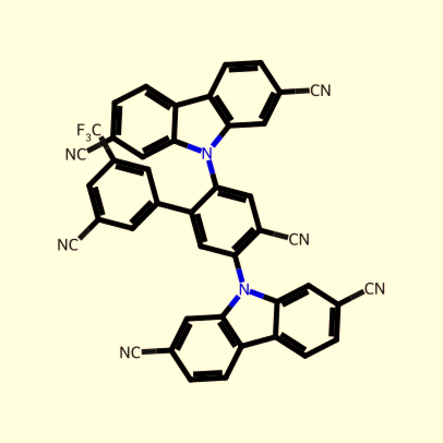 N#Cc1cc(-c2cc(-n3c4cc(C#N)ccc4c4ccc(C#N)cc43)c(C#N)cc2-n2c3cc(C#N)ccc3c3ccc(C#N)cc32)cc(C(F)(F)F)c1